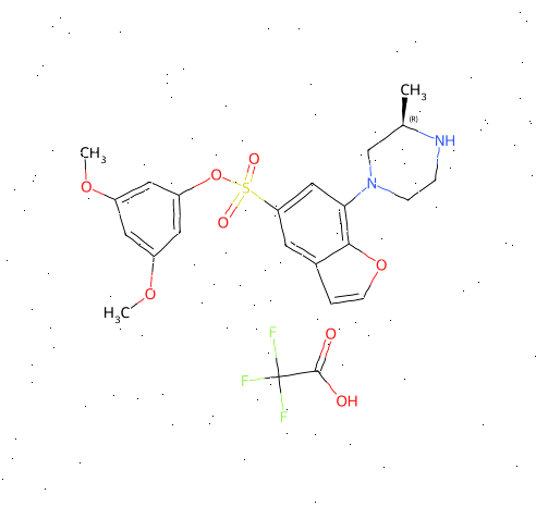 COc1cc(OC)cc(OS(=O)(=O)c2cc(N3CCN[C@H](C)C3)c3occc3c2)c1.O=C(O)C(F)(F)F